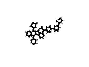 c1ccc(-c2c3c(c(-c4ccccc4)c4ccccc24)-c2ccc(-c4cnc(-c5cccc(-c6ccccn6)n5)cn4)c4cccc-3c24)cc1